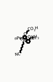 CCCOc1cc(OCCCC(=O)O)cc2c3c(n(CCCCCCCCC#N)c12)CCCC3C(=O)NN